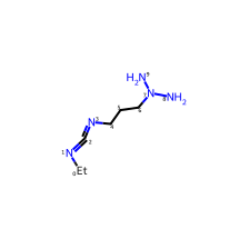 CCN=C=NCCCN(N)N